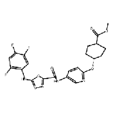 COC(=O)[C@H]1CC[C@H](Oc2ccc(NC(=O)c3nnc(Nc4cc(F)c(F)cc4F)o3)cn2)CC1